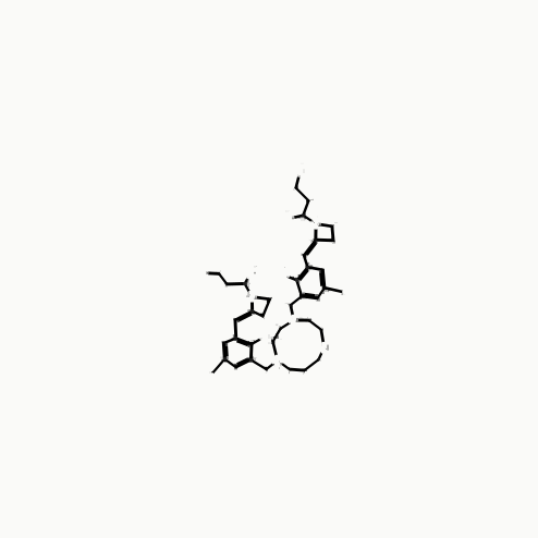 Cc1cc(C=C2CCN2C(O)CCO)c(O)c(CN2CCCNCCN(Cc3cc(C)cc(C=C4CCN4C(O)CCO)c3O)CC2)c1